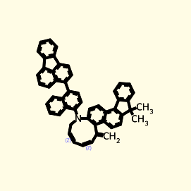 C=C1/C=C\C=C/CN(c2ccc(-c3ccc4c5c(cccc35)-c3ccccc3-4)c3ccccc23)c2ccc3c4c(ccc3c21)C(C)(C)c1ccccc1-4